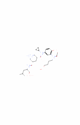 COCCCCN1C(=O)COc2ccc(N(C(=O)[C@H]3CNC[C@@H](C(=O)NC(CO)CC(C)C)C3)C3CC3)cc21